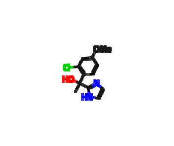 COc1ccc(C(C)(O)c2ncc[nH]2)c(Cl)c1